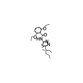 CCCC(C)(CC)c1nnc(NC(=O)c2c(OCC)cccc2OCC)s1